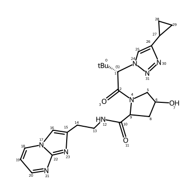 CC(C)(C)[C@@H](C(=O)N1CC(O)CC1C(=O)NCCc1cn2cccnc2n1)n1cc(C2CC2)nn1